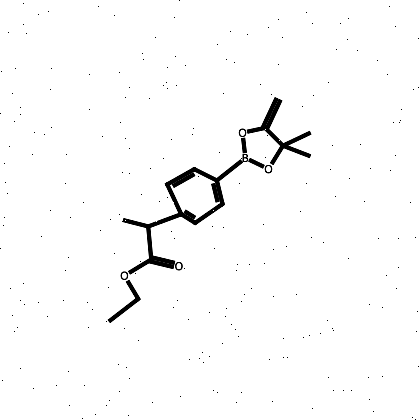 C=C1OB(c2ccc(C(C)C(=O)OCC)cc2)OC1(C)C